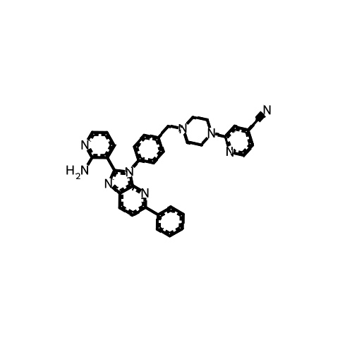 N#Cc1ccnc(N2CCN(Cc3ccc(-n4c(-c5cccnc5N)nc5ccc(-c6ccccc6)nc54)cc3)CC2)c1